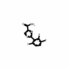 NC(=O)c1csc(-c2c(F)ccc(F)c2F)n1